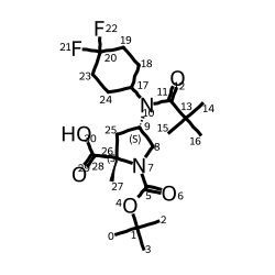 CC(C)(C)OC(=O)N1C[C@@H](N(C(=O)C(C)(C)C)C2CCC(F)(F)CC2)C[C@@]1(C)C(=O)O